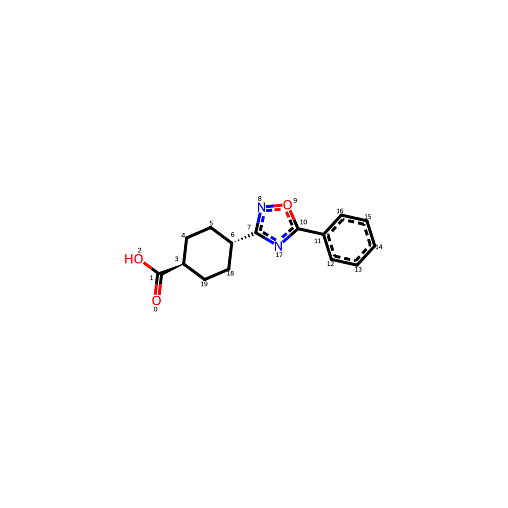 O=C(O)[C@H]1CC[C@H](c2noc(-c3ccccc3)n2)CC1